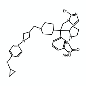 CCc1nccn1CC(c1cccc(F)c1)(C1CCN(CC2CN(c3ccc(SC4CC4)cc3)C2)CC1)C1CCCN1NC(=O)OC